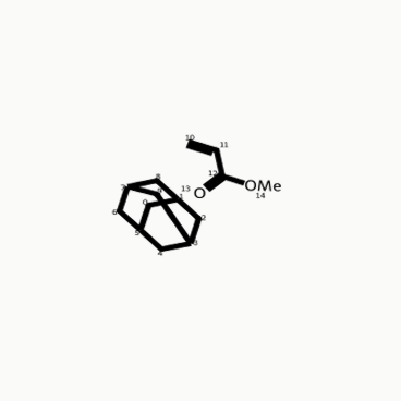 C1C2CC3CC1CC(C2)C3.C=CC(=O)OC